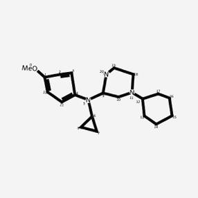 COc1ccc(N(C2CC2)C2CN(C3CCCCC3)CC[N]2)cc1